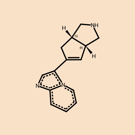 C1=C(c2cnc3ccccn23)C[C@@H]2CNC[C@H]12